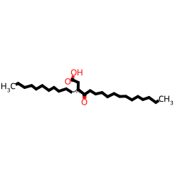 CCCCCCCCCCCCCC(=O)[C@H](CCCCCCCCCCC)CC(=O)O